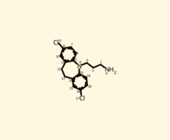 NCCCN1c2ccc(Cl)cc2CCc2cc(Cl)ccc21